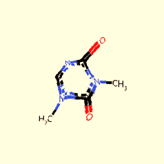 Cn1cnc(=O)n(C)c1=O